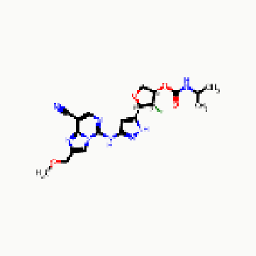 COCc1cn2c(Nc3cc([C@H]4OC[C@@H](OC(=O)NC(C)C)[C@H]4F)[nH]n3)ncc(C#N)c2n1